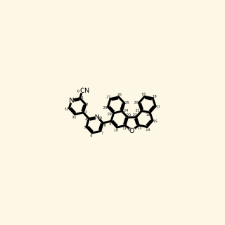 N#Cc1cc(-c2cccc(-c3cc4oc5ccc6ccccc6c5c4c4ccccc34)n2)ccn1